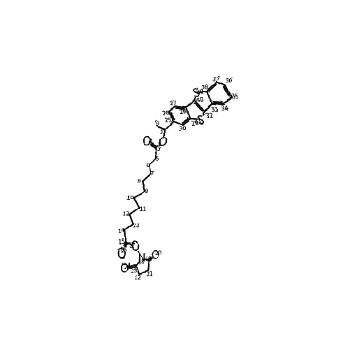 CC(OC(=O)CCCCCCCCCCC(=O)ON1C(=O)CCC1=O)c1ccc2c(c1)sc1c3ccccc3sc21